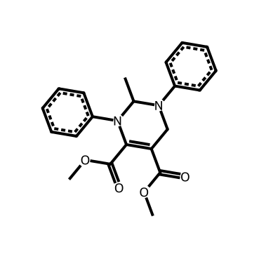 COC(=O)C1=C(C(=O)OC)N(c2ccccc2)C(C)N(c2ccccc2)C1